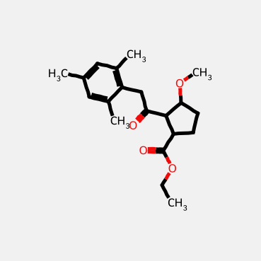 CCOC(=O)C1CCC(OC)C1C(=O)Cc1c(C)cc(C)cc1C